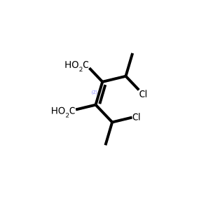 CC(Cl)/C(C(=O)O)=C(/C(=O)O)C(C)Cl